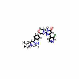 C[C@@H](CC(=N)c1ccc([C@H]2CN(c3nc(-c4ccncc4F)cc(=O)n3C)CCO2)cc1)N(C)C